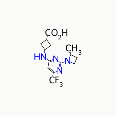 C[C@H]1CCN1c1nc(NC2CC(C(=O)O)C2)cc(C(F)(F)F)n1